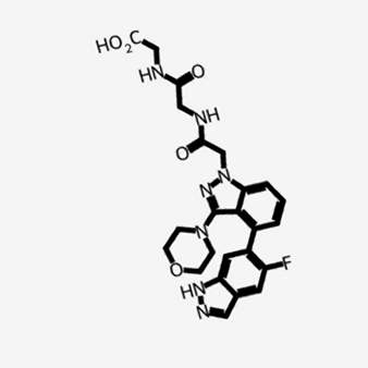 O=C(O)CNC(=O)CNC(=O)Cn1nc(N2CCOCC2)c2c(-c3cc4[nH]ncc4cc3F)cccc21